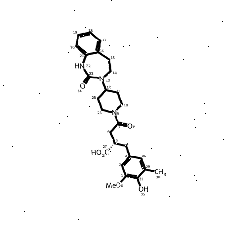 COc1cc(C[C@@H](CC(=O)N2CCC(N3CCc4ccccc4NC3=O)CC2)C(=O)O)cc(C)c1O